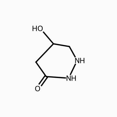 O=C1CC(O)CNN1